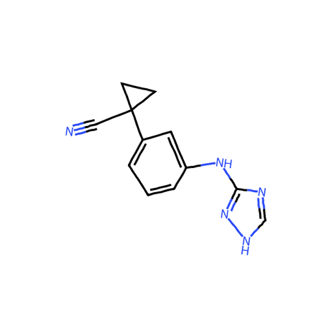 N#CC1(c2cccc(Nc3nc[nH]n3)c2)CC1